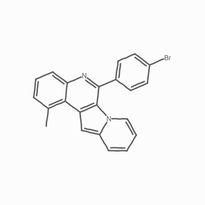 Cc1cccc2nc(-c3ccc(Br)cc3)c3c(cc4ccccn43)c12